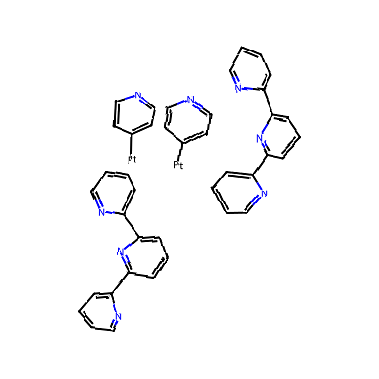 [Pt][c]1ccncc1.[Pt][c]1ccncc1.c1ccc(-c2cccc(-c3ccccn3)n2)nc1.c1ccc(-c2cccc(-c3ccccn3)n2)nc1